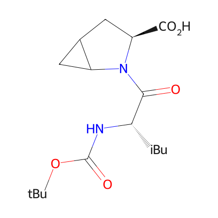 CCC(C)[C@H](NC(=O)OC(C)(C)C)C(=O)N1C2CC2C[C@H]1C(=O)O